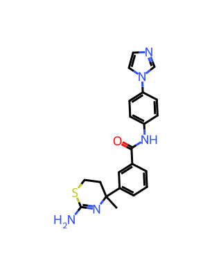 CC1(c2cccc(C(=O)Nc3ccc(-n4ccnc4)cc3)c2)CCSC(N)=N1